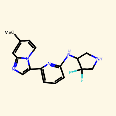 COc1ccn2c(-c3cccc(NC4CNCC4(F)F)n3)cnc2c1